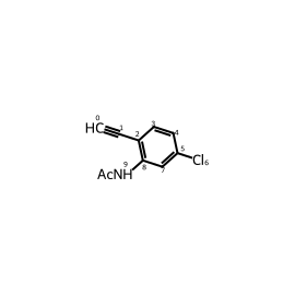 C#Cc1ccc(Cl)cc1NC(C)=O